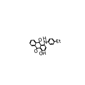 CCc1ccc(Nc2ccc(O)c3c2C(=O)c2ccccc2C3=O)cc1